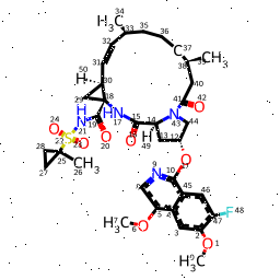 COc1cc2c(OC)cnc(O[C@@H]3C[C@H]4C(=O)N[C@]5(C(=O)NS(=O)(=O)C6(C)CC6)C[C@H]5/C=C\[C@@H](C)CCC[C@@H](C)CC(=O)N4C3)c2cc1F